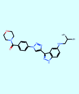 CCCC(CCC)CNc1ccc2[nH]nc(-c3cn(-c4ccc(C(=O)N5CCOCC5)cc4)nn3)c2c1